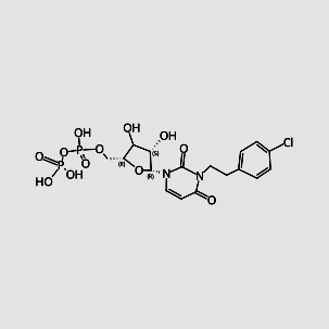 O=c1ccn([C@@H]2O[C@H](COP(=O)(O)OP(=O)(O)O)C(O)[C@@H]2O)c(=O)n1CCc1ccc(Cl)cc1